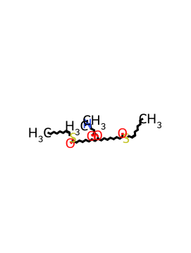 CCCCCC/C=C\CSC(=O)CCCCCCCC(CCCCCCCC(=O)SC/C=C\CCCCCC)OC(=O)CCCN(C)C